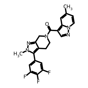 Cc1ccn2ncc(C(=O)N3CCc4c(nn(C)c4-c4cc(F)c(F)c(F)c4)C3)c2c1